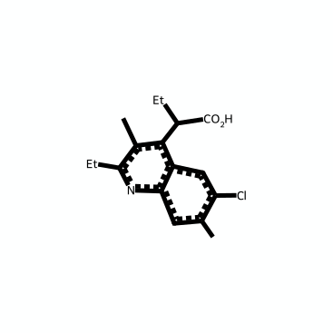 CCc1nc2cc(C)c(Cl)cc2c(C(CC)C(=O)O)c1C